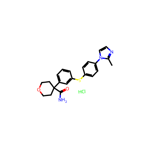 Cc1nccn1-c1ccc(Sc2cccc(C3(C(N)=O)CCOCC3)c2)cc1.Cl